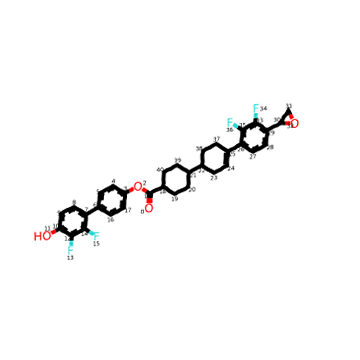 O=C(Oc1ccc(-c2ccc(O)c(F)c2F)cc1)C1CCC(C2CC=C(c3ccc(C4CO4)c(F)c3F)CC2)CC1